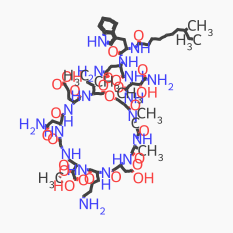 CCC(C)CCCCCCC(=O)NC(Cc1c[nH]c2ccccc12)C(=O)NC(CC(N)=O)C(=O)NC(C(=O)NC1C(=O)N(C)CC(=O)NC(C)C(=O)NC(CC(=O)O)C(=O)NC(CCCCN)C(=O)NC(C(OC)C(=O)O)C(=O)NCC(=O)NC(CC(N)=O)C(=O)NC(CCC(=O)O)C(=O)NC(C(C)CC)C(=O)OC1C)C(O)C(N)=O